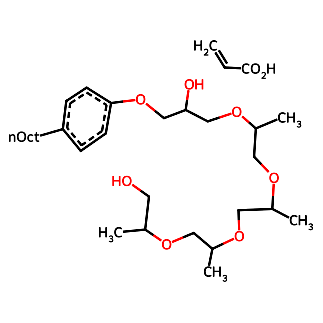 C=CC(=O)O.CCCCCCCCc1ccc(OCC(O)COC(C)COC(C)COC(C)COC(C)CO)cc1